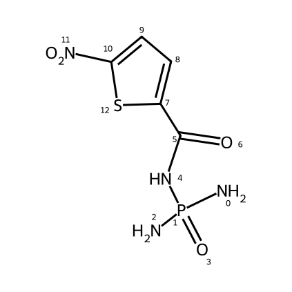 NP(N)(=O)NC(=O)c1ccc([N+](=O)[O-])s1